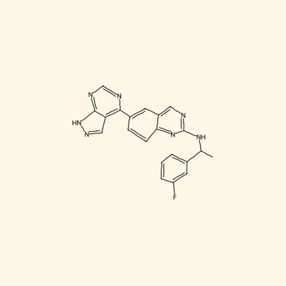 CC(Nc1ncc2cc(-c3ncnc4[nH]ncc34)ccc2n1)c1cccc(F)c1